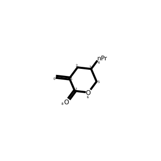 C=C1CC(CCC)COC1=O